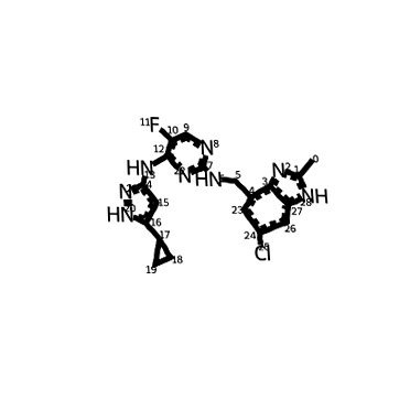 Cc1nc2c(CNc3ncc(F)c(Nc4cc(C5CC5)[nH]n4)n3)cc(Cl)cc2[nH]1